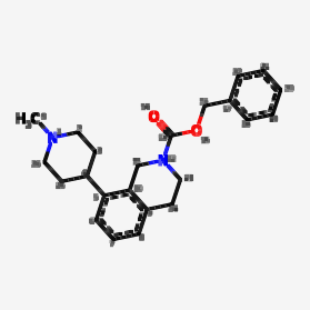 CN1CCC(c2cccc3c2CN(C(=O)OCc2ccccc2)CC3)CC1